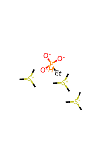 CC[PH]([O-])([O-])[O-].C[S+](C)C.C[S+](C)C.C[S+](C)C